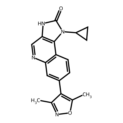 Cc1noc(C)c1-c1ccc2c(c1)ncc1[nH]c(=O)n(C3CC3)c12